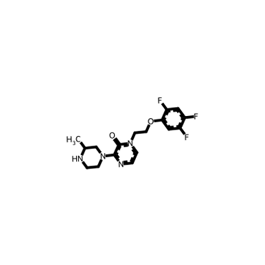 CC1CN(c2nccn(CCOc3cc(F)c(F)cc3F)c2=O)CCN1